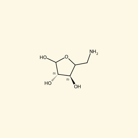 NCC1OC(O)[C@@H](O)[C@@H]1O